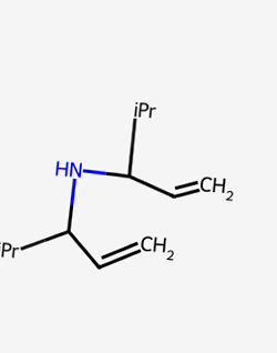 C=CC(NC(C=C)C(C)C)C(C)C